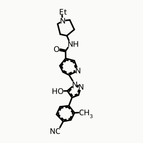 CCN1CCC(NC(=O)c2ccc(-n3ncc(-c4ccc(C#N)cc4C)c3O)nc2)CC1